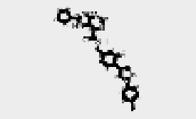 O=C(NCc1ccc(-c2cnn(-c3ccc(F)cc3)c2)c(F)c1)c1ncnc2nc(C3CCCC3)[nH]c12